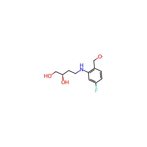 [O]Cc1ccc(F)cc1NCC[C@@H](O)CO